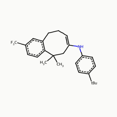 CC(C)(C)c1ccc(N/C2=C/CCc3cc(C(F)(F)F)ccc3C(C)(C)C2)cc1